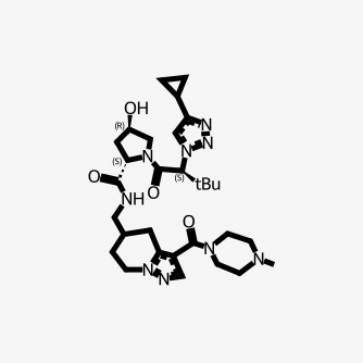 CN1CCN(C(=O)c2cnn3c2CC(CNC(=O)[C@@H]2C[C@@H](O)CN2C(=O)[C@@H](n2cc(C4CC4)nn2)C(C)(C)C)CC3)CC1